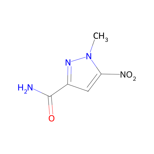 Cn1nc(C(N)=O)cc1[N+](=O)[O-]